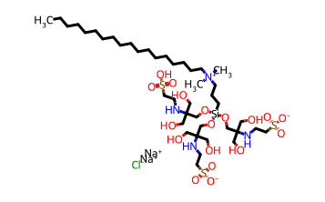 CCCCCCCCCCCCCCCCCC[N+](C)(C)CCC[Si](OCC(CO)(CO)NCCS(=O)(=O)[O-])(OCC(CO)(CO)NCCS(=O)(=O)[O-])OCC(CO)(CO)NCCS(=O)(=O)O.[Cl-].[Na+].[Na+]